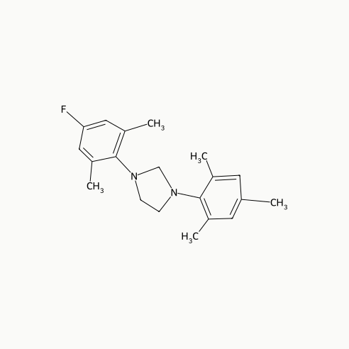 Cc1cc(C)c(N2CCN(c3c(C)cc(F)cc3C)C2)c(C)c1